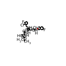 C=C(C)OC(=O)N[C@@H](CO)C(=O)NCCC(C)(CCOC(=O)Nc1cc2cc(F)ccc2cn1)C(=O)NCc1cccc(F)c1Cl